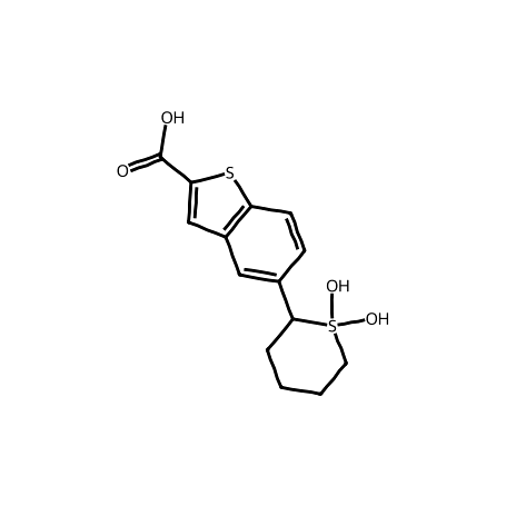 O=C(O)c1cc2cc(C3CCCCS3(O)O)ccc2s1